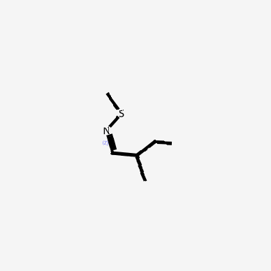 CCC(C)/C=N\SC